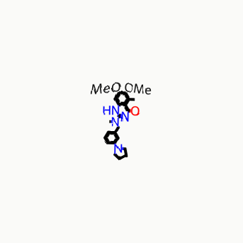 COc1cc2[nH]c(N(C)Cc3cccc(N4CCCC4)c3)nc(=O)c2c(C)c1OC